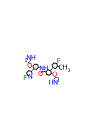 Cc1cc(-c2cc(C(=O)Nc3ccc(O[C@H]4CCNC4)c(-c4ccc(F)nc4)c3)ccc2O[C@H]2CCNC2)ccc1F